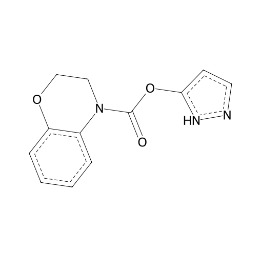 O=C(Oc1ccn[nH]1)N1CCOc2ccccc21